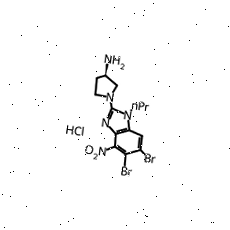 CCCn1c(N2CC[C@@H](N)C2)nc2c([N+](=O)[O-])c(Br)c(Br)cc21.Cl